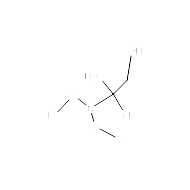 CCON(OCC)C(C)(C)CO